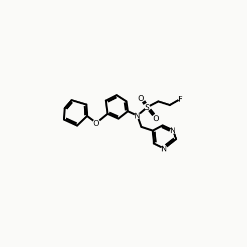 O=S(=O)(CCF)N(Cc1cncnc1)c1cccc(Oc2ccccc2)c1